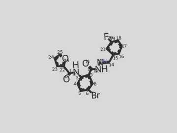 O=C(Nc1ccc(Br)cc1C(=O)N/N=C/c1cccc(F)c1)c1ccco1